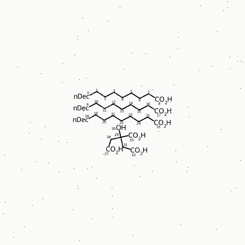 CCCCCCCCCCCCCCCCCC(=O)O.CCCCCCCCCCCCCCCCCC(=O)O.CCCCCCCCCCCCCCCCCC(=O)O.O=C(O)CC(O)(CC(=O)O)C(=O)O